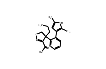 CCCC1(c2ncccc2-c2cc(C)[nH]c2C)CON=C1C(=O)O